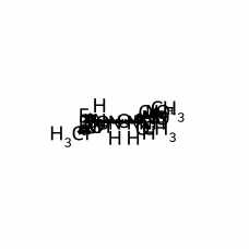 CC(=O)Nc1cc(NCCOCCNCCCONC(=O)c2ccc(F)c(F)c2Nc2ccc(C)cc2F)ccc1C(=O)Nc1nc(C)c([N+](=O)[O-])s1